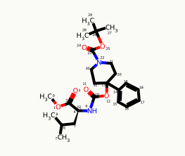 COC(=O)[C@H](CC(C)C)NC(=O)OC1(c2ccccc2)CCN(C(=O)OC(C)(C)C)CC1